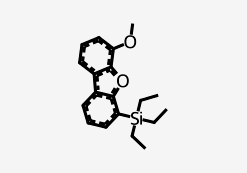 CC[Si](CC)(CC)c1cccc2c1oc1c(OC)cccc12